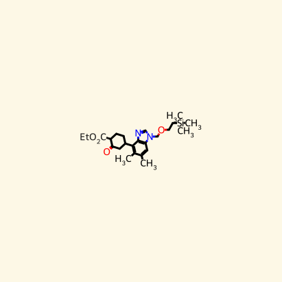 CCOC(=O)C1CCC(c2c(C)c(C)cc3c2ncn3COCC[Si](C)(C)C)CC1=O